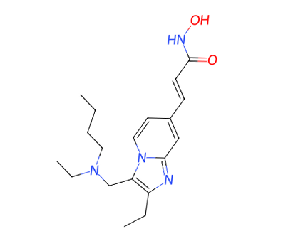 CCCCN(CC)Cc1c(CC)nc2cc(/C=C/C(=O)NO)ccn12